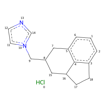 Cl.c1cc2c3c(c1)CC(Cn1ccnc1)CC3CC2